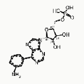 Nc1cccc(-c2ncnc3c2ncn3[C@@H]2O[C@H](COP(=O)(O)O)[C@@H](O)[C@H]2O)c1